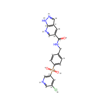 O=C(NCc1ccc(S(=O)(=O)c2cncc(Cl)c2)cc1)c1cnc2[nH]ncc2c1